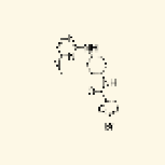 CN(C)c1ccnc(NC2CCC(NC(=O)c3ccc(Br)o3)CC2)n1